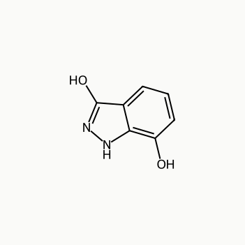 Oc1n[nH]c2c(O)cccc12